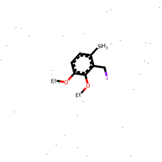 CCOc1ccc([SiH3])c(CI)c1OCC